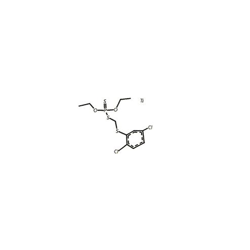 CCOP(=S)(OCC)SCSc1cc(Cl)ccc1Cl.[Ti]